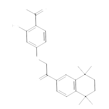 CC1(C)CCC(C)(C)c2cc(C(=O)COc3ccc(C(=O)Cl)c(O)c3)ccc21